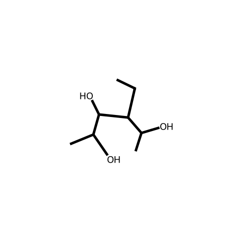 CCC(C(C)O)C(O)C(C)O